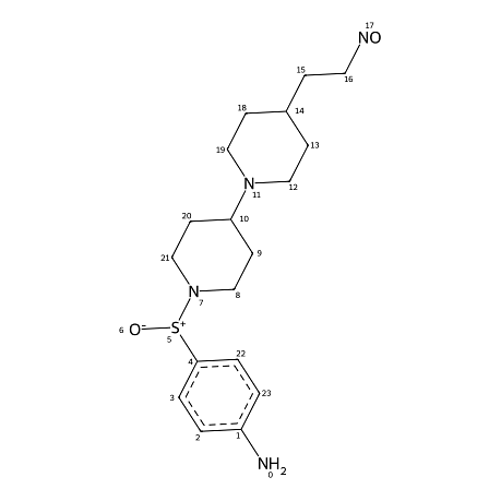 Nc1ccc([S+]([O-])N2CCC(N3CCC(CCN=O)CC3)CC2)cc1